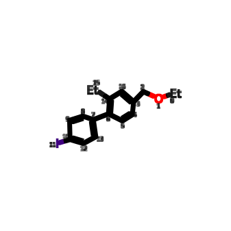 CCOCc1ccc(-c2ccc(I)cc2)c(CC)c1